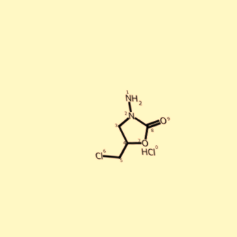 Cl.NN1CC(CCl)OC1=O